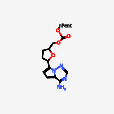 CCCCCOC(=O)OCC1CCC(c2ccc3c(N)ncnn23)O1